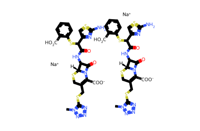 Cn1nnnc1SCC1=C(C(=O)[O-])N2C(=O)C(NC(=O)C(Sc3ccccc3C(=O)O)c3csc(N)n3)[C@H]2SC1.Cn1nnnc1SCC1=C(C(=O)[O-])N2C(=O)C(NC(=O)C(Sc3ccccc3C(=O)O)c3csc(N)n3)[C@H]2SC1.[Na+].[Na+]